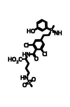 CP(=N)(CCc1cc(Cl)c(C(=O)N[C@@H](CCCNS(C)(=O)=O)C(=O)O)c(Cl)c1)c1cccc(O)c1